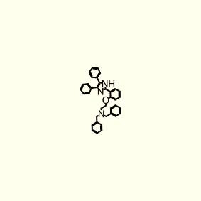 c1ccc(CN(CCOc2ccccc2-c2nc(-c3ccccc3)c(-c3ccccc3)[nH]2)Cc2ccccc2)cc1